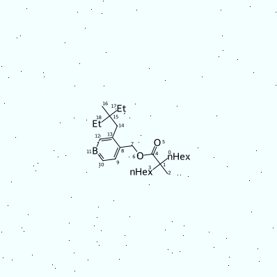 CCCCCCC(C)(CCCCCC)C(=O)OCc1ccbcc1CC(C)(CC)CC